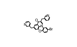 O=c1c(Cc2cccnc2)cn2c3c(cc(Cc4cccnc4)cc13)Oc1ccc(Br)cc1-2